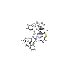 c1ccc2c(c1)-c1cc(N(c3ccc4c(c3)-c3ccccc3C43C4CC5CCC3C(C5)C4)c3cccc4sc5ccccc5c34)ccc1C21C2CC3CC(C2)CC1C3